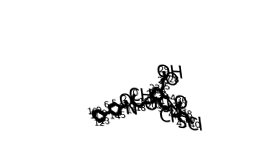 Cc1oc(-c2ccc(-c3ccccc3)cc2)nc1CCOc1ccc(CCC(=O)O)c2c1CCN(C(=O)c1cc(Cl)sc1Cl)C2